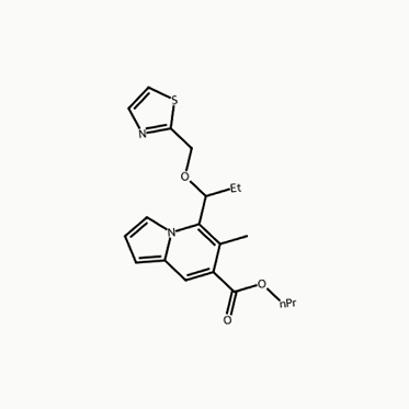 CCCOC(=O)c1cc2cccn2c(C(CC)OCc2nccs2)c1C